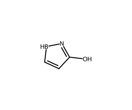 OC1=NBC=C1